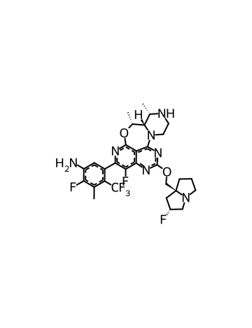 Cc1c(F)c(N)cc(-c2nc3c4c(nc(OC[C@@]56CCCN5C[C@H](F)C6)nc4c2F)N2CCN[C@@H](C)[C@H]2[C@@H](C)O3)c1C(F)(F)F